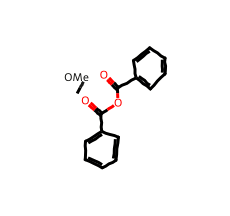 COC.O=C(OC(=O)c1ccccc1)c1ccccc1